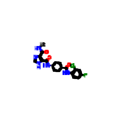 CCNC(=O)c1nc[nH]c1C(=O)N[C@H]1CC[C@H](C(=O)Nc2ccc(F)cc2Cl)CC1